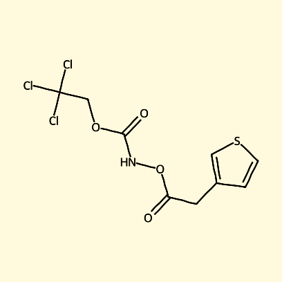 O=C(Cc1ccsc1)ONC(=O)OCC(Cl)(Cl)Cl